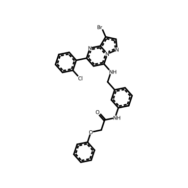 O=C(COc1ccccc1)Nc1cccc(CNc2cc(-c3ccccc3Cl)nc3c(Br)cnn23)c1